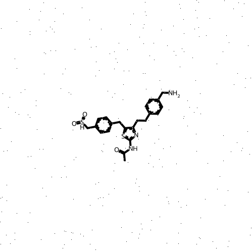 CC(=O)Nc1nc(CCc2ccc(CN)cc2)c(Cc2ccc(C[SH](=O)=O)cc2)s1